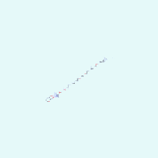 CCCOCCOCCOCCOCCOCCOCCOCCOCCOCCCCO/N=C/c1ccc2ccccc2c1